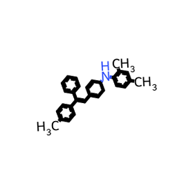 Cc1ccc(C(=CC2=CCC(Nc3ccc(C)cc3C)C=C2)c2ccccc2)cc1